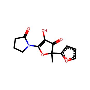 CC1(c2ccco2)OC(N2CCCC2=O)=C(O)C1=O